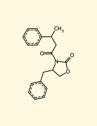 CC(CC(=O)N1C(=O)OCC1Cc1ccccc1)c1ccccc1